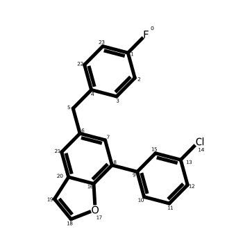 Fc1ccc(Cc2cc(-c3cccc(Cl)c3)c3occc3c2)cc1